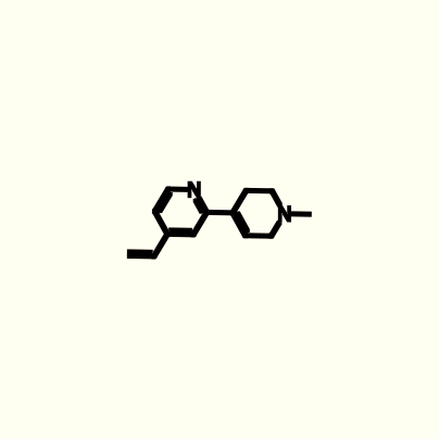 C=Cc1ccnc(C2=CCN(C)CC2)c1